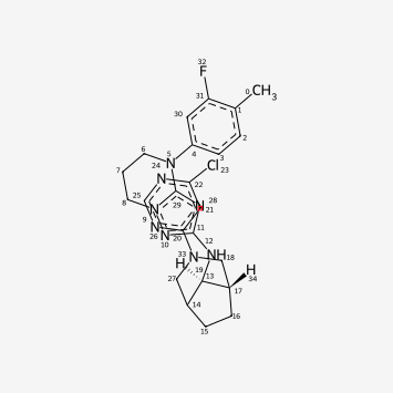 Cc1ccc(N2CCCn3nc(N[C@@H]4C5CC[C@H]4CN(c4cc(Cl)ncn4)C5)nc32)cc1F